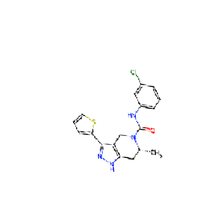 C[C@@H]1Cc2[nH]nc(-c3cccs3)c2CN1C(=O)Nc1cccc(Cl)c1